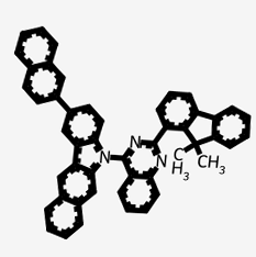 CC1(C)c2ccccc2-c2cccc(-c3nc(-n4c5ccc(-c6ccc7ccccc7c6)cc5c5cc6ccccc6cc54)c4ccccc4n3)c21